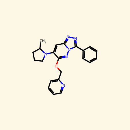 CC1CCCN1c1cc2nnc(-c3ccccc3)n2nc1OCc1ccccn1